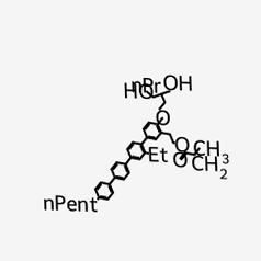 C=C(C)C(=O)OCCc1cc(-c2ccc(-c3ccc(-c4ccc(CCCCC)cc4)cc3)cc2CC)ccc1OCCC(CO)(CO)CCC